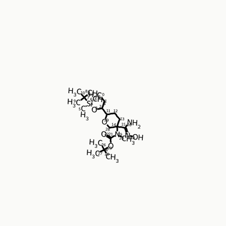 CCC(O[Si](C)(C)C(C)(C)C)C1CCC(/C(N)=N/O)(N(C)C(=O)OC(C)(C)C)CO1